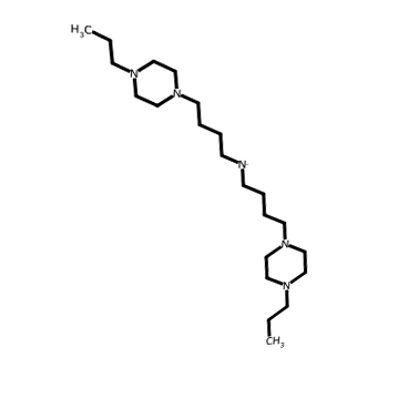 CCCN1CCN(CCCC[N]CCCCN2CCN(CCC)CC2)CC1